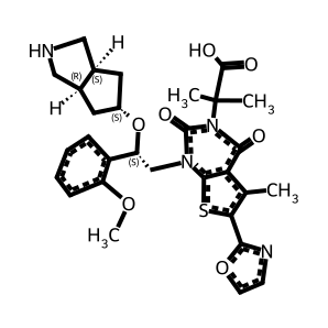 COc1ccccc1[C@@H](Cn1c(=O)n(C(C)(C)C(=O)O)c(=O)c2c(C)c(-c3ncco3)sc21)O[C@@H]1C[C@H]2CNC[C@H]2C1